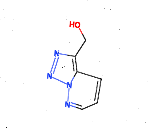 OCc1nnn2ncccc12